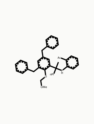 CCCC(C)(Pc1ccccc1C(C)=O)c1cc(Cc2ccccc2)cc(Cc2ccccc2)c1OCOC